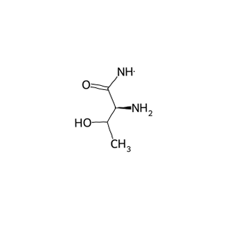 CC(O)[C@H](N)C([NH])=O